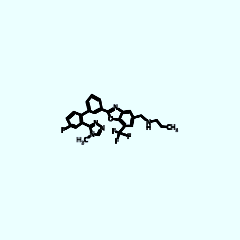 CCCNCc1cc(C(F)(F)F)c2oc(-c3cccc(-c4ccc(F)cc4-c4nncn4C)c3)nc2c1